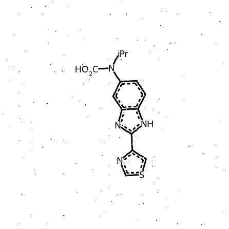 CC(C)N(C(=O)O)c1ccc2[nH]c(-c3cscn3)nc2c1